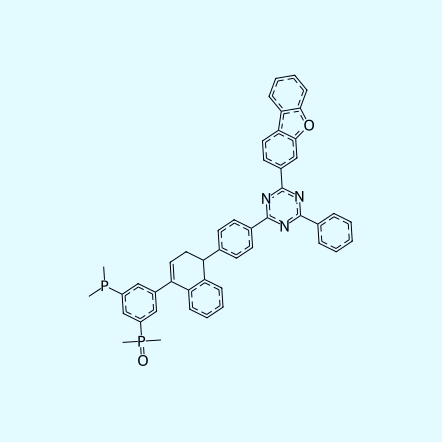 CP(C)c1cc(C2=CCC(c3ccc(-c4nc(-c5ccccc5)nc(-c5ccc6c(c5)oc5ccccc56)n4)cc3)c3ccccc32)cc(P(C)(C)=O)c1